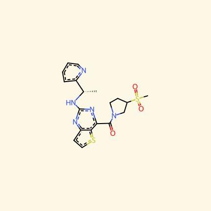 C[C@H](Nc1nc(C(=O)N2CCC(S(C)(=O)=O)C2)c2sccc2n1)c1ccccn1